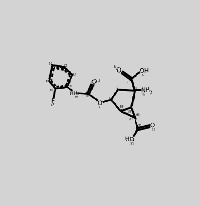 NC1(C(=O)O)CC(OC(=O)Nc2ccccc2F)C2C1[C@H]2C(=O)O